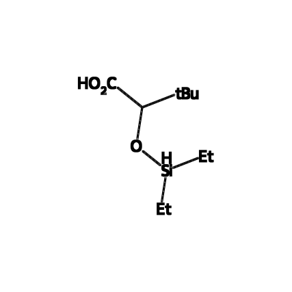 CC[SiH](CC)OC(C(=O)O)C(C)(C)C